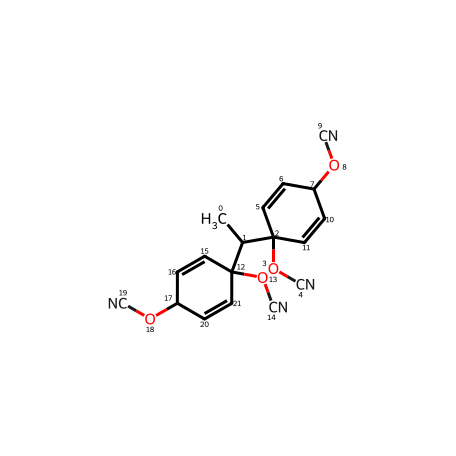 CC(C1(OC#N)C=CC(OC#N)C=C1)C1(OC#N)C=CC(OC#N)C=C1